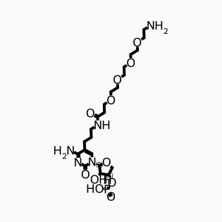 NCCOCCOCCOCCOCCC(=O)NCCCc1cn([C@@H]2OC[C@H](O[PH](=O)O)C2O)c(=O)nc1N